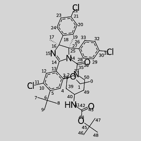 CCOc1cc(C(C)(C)C)c(Cl)cc1C1=N[C@@](C)(c2ccc(Cl)cc2)[C@@](C)(c2ccc(Cl)cc2)N1C(=O)N1CCC(NC(=O)OC(C)(C)C)CC1